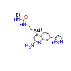 CCNC(=O)NCC[AsH]c1cc(N)nc2cc(-c3ccn[nH]3)ccc12